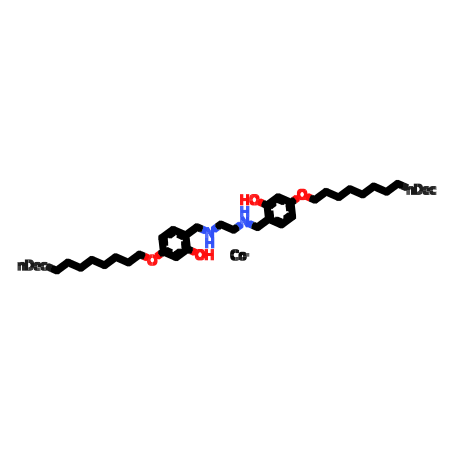 CCCCCCCCCCCCCCCCCCOc1ccc(CNCCNCc2ccc(OCCCCCCCCCCCCCCCCCC)cc2O)c(O)c1.[Co]